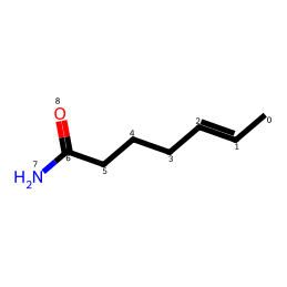 C/C=C/CCCC(N)=O